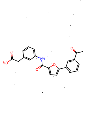 CC(=O)c1cccc(-c2ccc(C(=O)Nc3cccc(CC(=O)O)c3)o2)c1